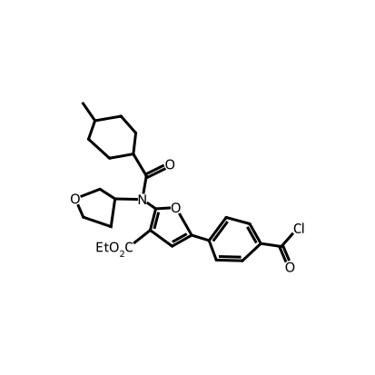 CCOC(=O)c1cc(-c2ccc(C(=O)Cl)cc2)oc1N(C(=O)C1CCC(C)CC1)C1CCOC1